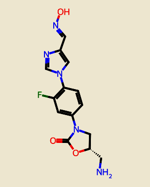 NC[C@H]1CN(c2ccc(-n3cnc(/C=N/O)c3)c(F)c2)C(=O)O1